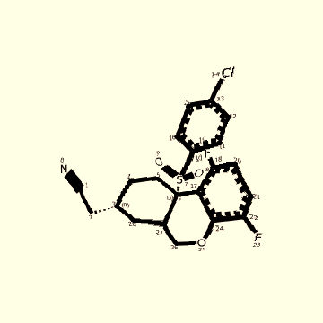 N#CC[C@@H]1CC[C@@]2(S(=O)(=O)c3ccc(Cl)cc3)c3c(F)ccc(F)c3OCC2C1